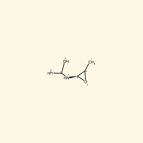 CCCC(O)N[C@@H]1OC1C